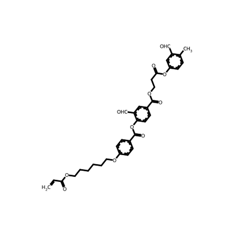 C=CC(=O)OCCCCCCOc1ccc(C(=O)Oc2ccc(C(=O)OCCC(=O)Oc3ccc(C)c(C=O)c3)cc2C=O)cc1